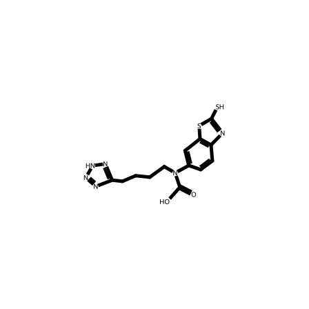 O=C(O)N(CCCCc1nn[nH]n1)c1ccc2nc(S)sc2c1